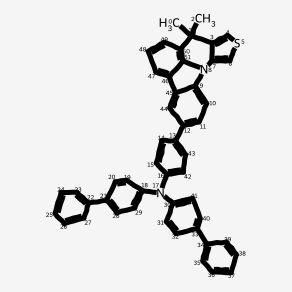 CC1(C)c2cscc2-n2c3ccc(-c4ccc(N(c5ccc(-c6ccccc6)cc5)c5ccc(-c6ccccc6)cc5)cc4)cc3c3cccc1c32